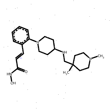 CN1CCC(C)(CNC2CCN(c3ccccc3/C=C/C(=O)NO)CC2)CC1